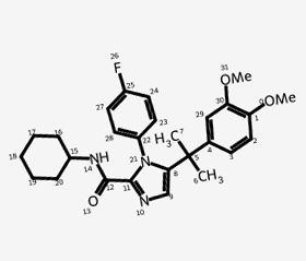 COc1ccc(C(C)(C)c2cnc(C(=O)NC3CCCCC3)n2-c2ccc(F)cc2)cc1OC